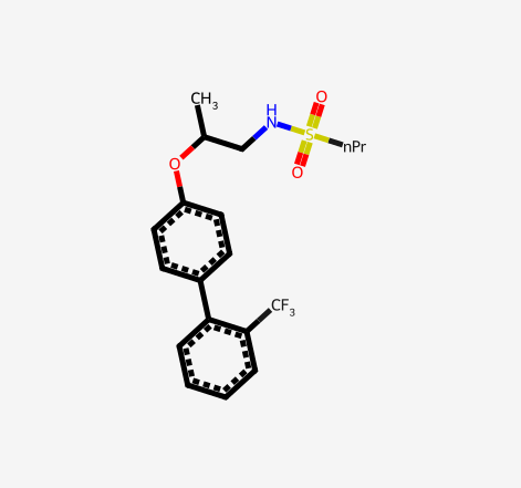 CCCS(=O)(=O)NCC(C)Oc1ccc(-c2ccccc2C(F)(F)F)cc1